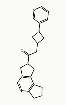 O=C(CC1CN(c2cccnc2)C1)N1Cc2cnc3c(c2C1)CCC3